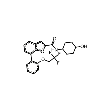 O=C(NC1CCC(O)CC1)c1cc2cccc(-c3ccccc3OCC(F)(F)F)c2o1